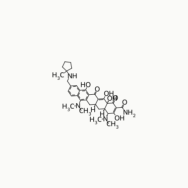 CN(C)c1c2c(c(O)c3cc(CNC4(C)CCCC4)ccc13)C(=O)C1=C(O)[C@]3(O)C(=O)C(C(N)=O)=C(O)[C@@H](N(C)C)[C@@H]3C[C@@H]1C2